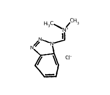 C[N+](C)=Cn1nnc2ccccc21.[Cl-]